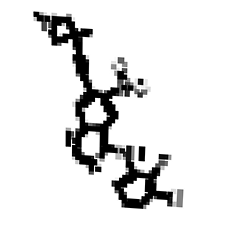 CN1CC(C)(C#Cc2cc3ncnc(Nc4cccc(Cl)c4F)c3cc2[N+](=O)[O-])C1